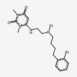 CCN(CCCCc1ccccc1C(C)=O)CCNc1cc(=O)n(C)c(=O)n1C